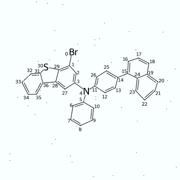 Brc1cc(N(c2ccccc2)c2ccc(-c3cccc4ccccc34)cc2)cc2c1sc1ccccc12